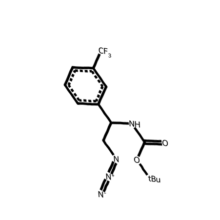 CC(C)(C)OC(=O)NC(CN=[N+]=[N-])c1cccc(C(F)(F)F)c1